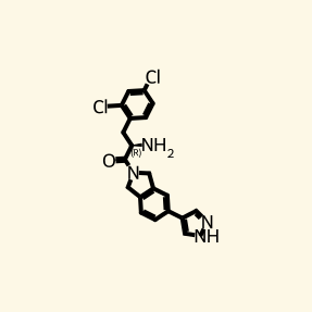 N[C@H](Cc1ccc(Cl)cc1Cl)C(=O)N1Cc2ccc(-c3cn[nH]c3)cc2C1